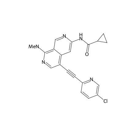 CNc1ncc(C#Cc2ccc(Cl)cn2)c2cc(NC(=O)C3CC3)ncc12